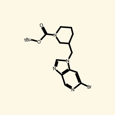 CC(C)(C)OC(=O)N1CCCC(Cn2cnc3cnc(Br)cc32)C1